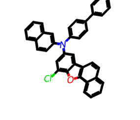 Clc1cc(N(c2ccc(-c3ccccc3)cc2)c2ccc3ccccc3c2)cc2c1oc1c3ccccc3ccc21